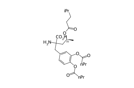 CCCC(=O)Oc1ccc(CC(N)(C[C@H](C)OC(=O)CCC(C)C)C(=O)O)cc1OC(=O)CCC